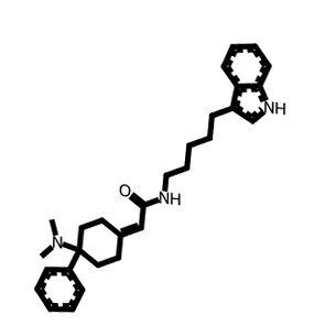 CN(C)C1(c2ccccc2)CCC(=CC(=O)NCCCCCc2c[nH]c3ccccc23)CC1